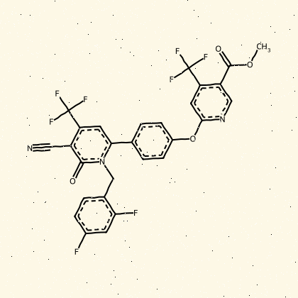 COC(=O)c1cnc(Oc2ccc(-c3cc(C(F)(F)F)c(C#N)c(=O)n3Cc3ccc(F)cc3F)cc2)cc1C(F)(F)F